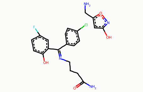 NC(=O)CCC/N=C(\c1ccc(Cl)cc1)c1cc(F)ccc1O.NCc1cc(O)no1